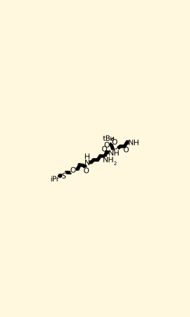 CC(C)CSCCOCCC(=O)NCCCCC(N)C(=O)N[C@@H](CCC(=O)C=N)C(=O)OC(C)(C)C